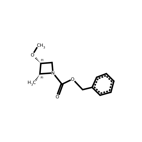 CO[C@@H]1CN(C(=O)OCc2ccccc2)[C@@H]1C